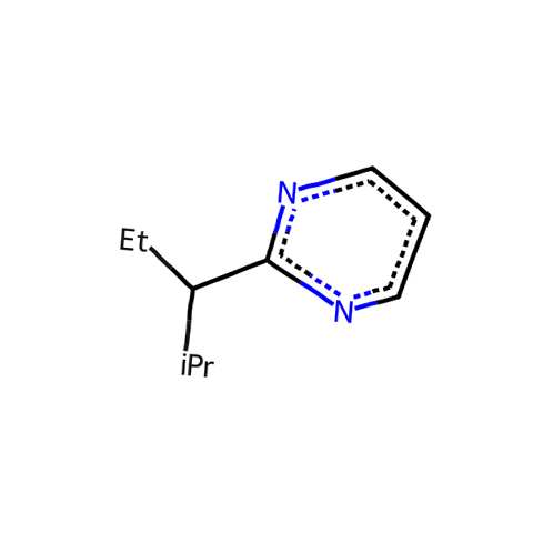 CCC(c1ncccn1)C(C)C